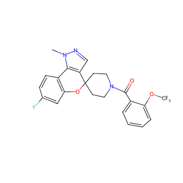 Cn1ncc2c1-c1ccc(F)cc1OC21CCN(C(=O)c2ccccc2OC(F)(F)F)CC1